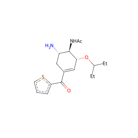 CCC(CC)O[C@@H]1C=C(C(=O)c2cccs2)C[C@H](N)[C@H]1NC(C)=O